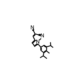 Cc1c(C(C)C)cc(-c2ccc(C=C(C#N)C#N)n2C)cc1C(C)C